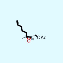 C=CCCC[C@]1(C)O[C@H]1COC(C)=O